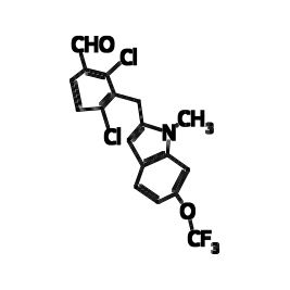 Cn1c(Cc2c(Cl)ccc(C=O)c2Cl)cc2ccc(OC(F)(F)F)cc21